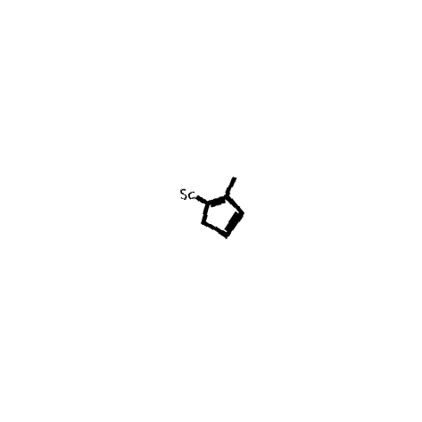 CC1=[C]([Sc])CC=C1